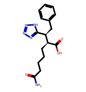 NC(=O)CCCC[C@H](C(=O)O)[C@H](Cc1ccccc1)c1nnn[nH]1